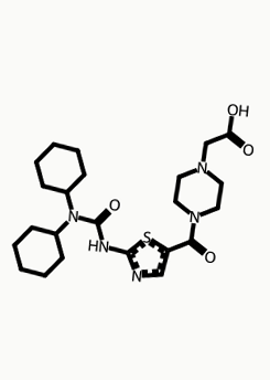 O=C(O)CN1CCN(C(=O)c2cnc(NC(=O)N(C3CCCCC3)C3CCCCC3)s2)CC1